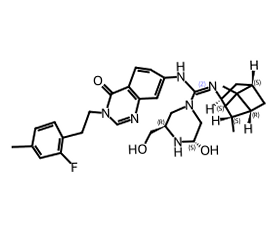 Cc1ccc(CCn2cnc3cc(N/C(=N/[C@H]4C[C@@H]5C[C@H]([C@@H]4C)C5(C)C)N4C[C@H](CO)N[C@@H](O)C4)ccc3c2=O)c(F)c1